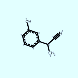 CC(C#N)c1cccc(O)c1